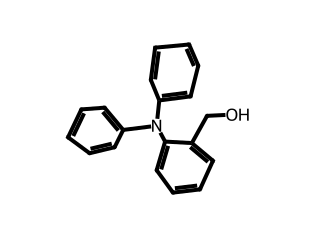 OCc1ccccc1N(c1ccccc1)c1ccccc1